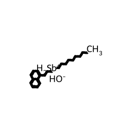 CCCCCCCCC[CH2][SbH2+][CH2]CCc1cccc2ccccc12.[OH-]